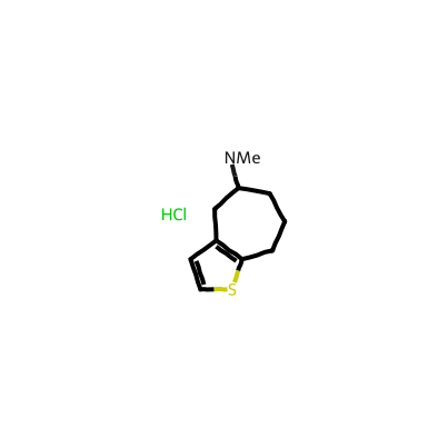 CNC1CCCc2sccc2C1.Cl